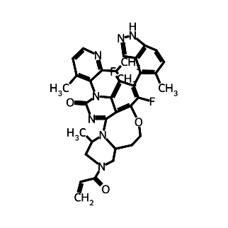 C=CC(=O)N1CC(C)N2c3nc(=O)n(-c4c(C)ccnc4C(C)C)c4c(F)c(-c5c(C)ccc6[nH]ncc56)c(F)c(c34)OCCC2C1